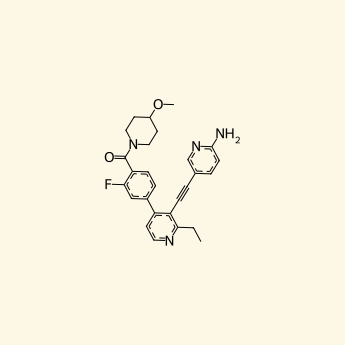 CCc1nccc(-c2ccc(C(=O)N3CCC(OC)CC3)c(F)c2)c1C#Cc1ccc(N)nc1